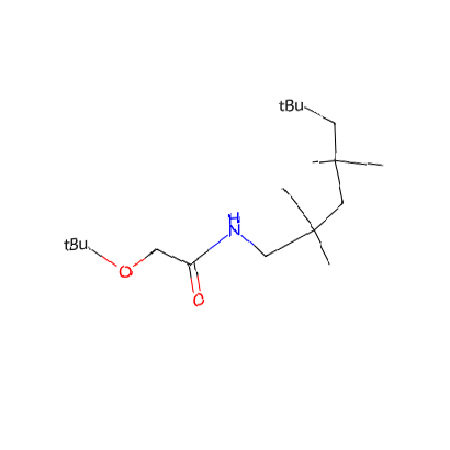 CC(C)(C)CC(C)(C)CC(C)(C)CNC(=O)COC(C)(C)C